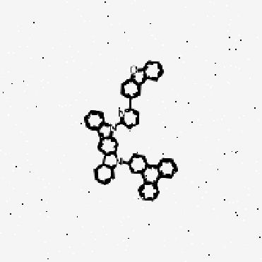 C1=CC2c3cc4c5ccccc5n(-c5cccc(-c6ccc7oc8ccccc8c7c6)n5)c4cc3N(c3ccc4c5ccccc5c5ccccc5c4c3)C2C=C1